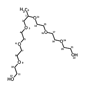 CC(COCCOCCOCCO)OCCOCCOCCO